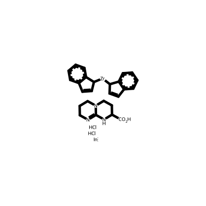 C1=C[CH]([Zr][CH]2C=Cc3ccccc32)c2ccccc21.Cl.Cl.O=C(O)C1CCN2CCCN=C2N1.[In]